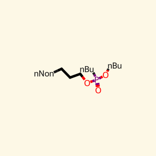 CCCCCCCCCCCCOP(=O)(CCCC)OCCCC